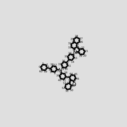 c1ccc(-c2ccc(N(c3ccc(-c4ccc(-n5c6ccccc6c6c7ccccc7ccc65)cc4)cc3)c3cccc(-c4cccc5oc6ccccc6c45)c3)cc2)cc1